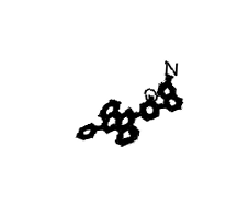 N#Cc1cc2c3c(cccc3c1)-c1ccc(-c3cc4c5ccccc5c(-c5ccccc5)cc4c4ccccc34)cc1O2